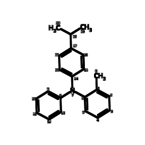 Cc1ccccc1N(c1ccccc1)c1ccc(C(C)C)cc1